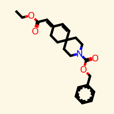 CCOC(=O)/C=C1/C=CC2(CC1)CCN(C(=O)OCc1ccccc1)CC2